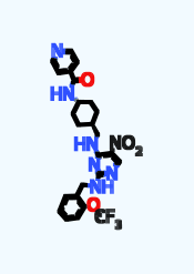 O=C(N[C@H]1CC[C@H](CNc2nc(NCc3ccccc3OC(F)(F)F)ncc2[N+](=O)[O-])CC1)c1ccncc1